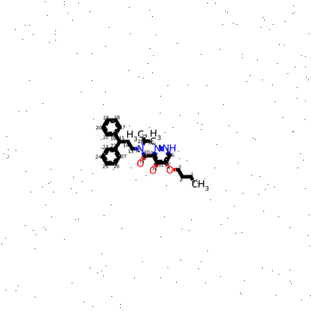 CCCCOc1c[nH]nc(C(=O)N(CCC(c2ccccc2)c2ccccc2)C(C)C)c1=O